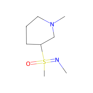 CN=S(C)(=O)C1CCCN(C)C1